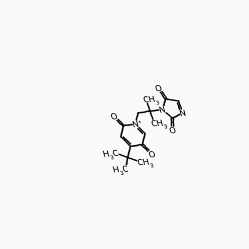 CC(C)(C)C1=CC(=O)[N+](CC(C)(C)N2C(=O)C=NC2=O)=CC1=O